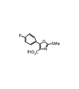 CCOC(=O)c1nc(SC)oc1-c1ccc(F)cc1